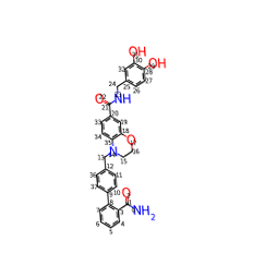 NC(=O)c1ccccc1-c1ccc(CN2CCOc3cc(C(=O)NCc4ccc(O)c(O)c4)ccc32)cc1